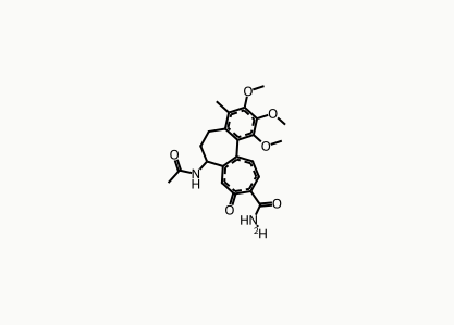 [2H]NC(=O)c1ccc2c(cc1=O)C(NC(C)=O)CCc1c(C)c(OC)c(OC)c(OC)c1-2